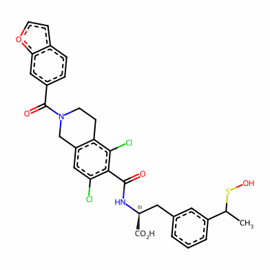 CC(SO)c1cccc(C[C@H](NC(=O)c2c(Cl)cc3c(c2Cl)CCN(C(=O)c2ccc4ccoc4c2)C3)C(=O)O)c1